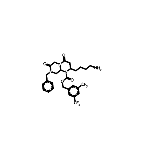 NCCCCC1CC(=O)N2CC(=O)N(Cc3ccccc3)CC2N1C(=O)OCc1cc(C(F)(F)F)cc(C(F)(F)F)c1